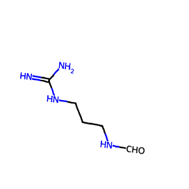 N=C(N)NCCCNC=O